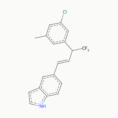 Cc1cc(Cl)cc(C(/C=C/c2ccc3[nH]ccc3c2)C(F)(F)F)c1